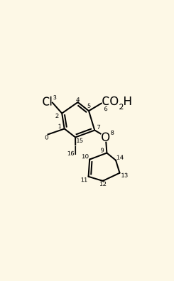 Cc1c(Cl)cc(C(=O)O)c(OC2C=CCCC2)c1I